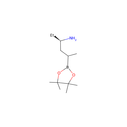 CC[C@@H](N)CC(C)B1OC(C)(C)C(C)(C)O1